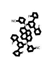 [C-]#[N+]c1cccc(N(c2cc(-c3ccccc3F)cc(-c3ccccc3F)c2)c2ccc3ccc4c(N(c5cccc(C#N)c5)c5cc(-c6ccccc6F)cc(-c6ccccc6F)c5)ccc5ccc2c3c54)c1